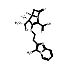 Cc1c(CCSC2=C(C(=O)O)N3C(=O)C[C@H]3[C@]2(C)[C@@H](C)O)nc2ccccn12